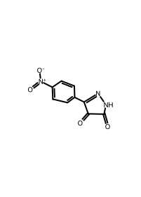 O=C1NN=C(c2ccc([N+](=O)[O-])cc2)C1=O